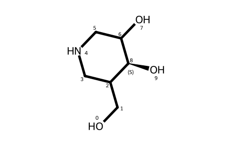 OCC1CNCC(O)[C@H]1O